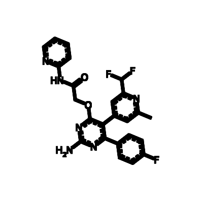 Cc1cc(-c2c(OCC(=O)Nc3ccccn3)nc(N)nc2-c2ccc(F)cc2)cc(C(F)F)n1